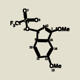 COC1=NC(OS(=O)(=O)C(F)(F)F)c2ccc(OC)cc21